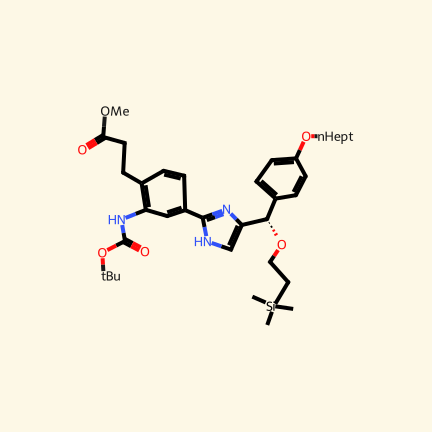 CCCCCCCOc1ccc([C@H](OCC[Si](C)(C)C)c2c[nH]c(-c3ccc(CCC(=O)OC)c(NC(=O)OC(C)(C)C)c3)n2)cc1